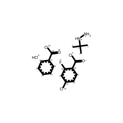 CC(C)(C)NN.Cl.O=C(Cl)c1ccc(Cl)cc1F.O=C(Cl)c1ccccc1